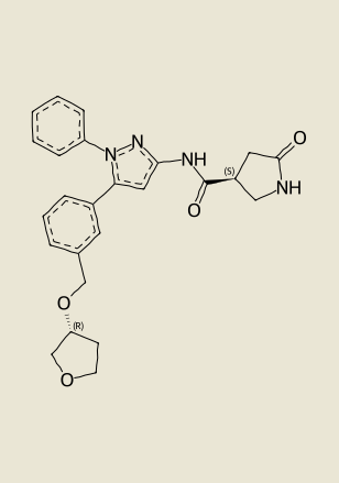 O=C1C[C@H](C(=O)Nc2cc(-c3cccc(CO[C@@H]4CCOC4)c3)n(-c3ccccc3)n2)CN1